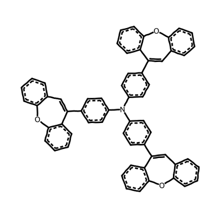 C1=C(c2ccc(N(c3ccc(C4=Cc5ccccc5Oc5ccccc54)cc3)c3ccc(C4=Cc5ccccc5Oc5ccccc54)cc3)cc2)c2ccccc2Oc2ccccc21